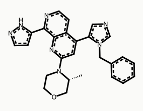 C[C@@H]1COCCN1c1cc(-c2cncn2Cc2ccccc2)c2ccnc(-c3ccn[nH]3)c2n1